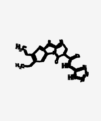 CCc1cc2sc3ncc(C(=O)Nc4nnn[nH]4)c(=O)n3c2cc1CC